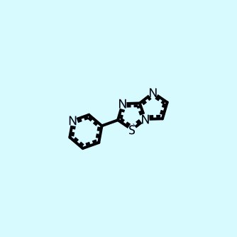 c1cncc(-c2nc3nccn3s2)c1